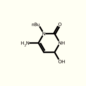 CCCCN1C(=O)NC(O)C=C1N